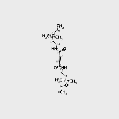 CCOC(C)(C)CCNC(=O)C#CC(=O)NCCC(C)(C)OCC